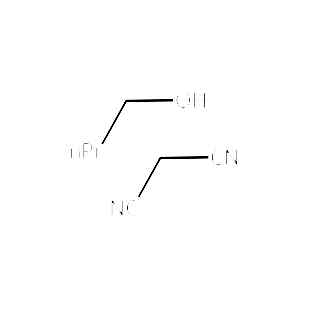 CCCCO.N#CCC#N